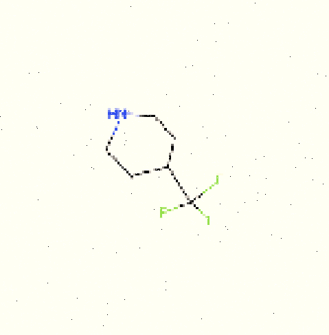 FC(F)(F)C1[CH]CNCC1